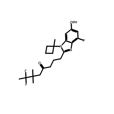 COc1cc(F)c2nc(CCCC(=O)CC(C)(C)C(C)(F)F)n(C3(C)CCC3)c2c1